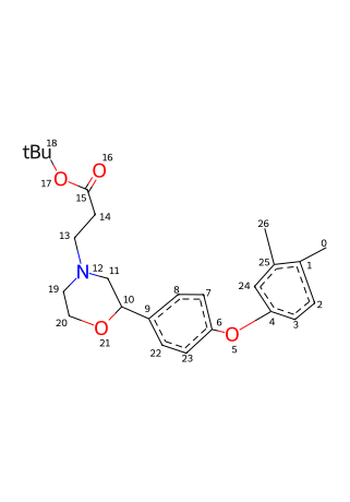 Cc1ccc(Oc2ccc(C3CN(CCC(=O)OC(C)(C)C)CCO3)cc2)cc1C